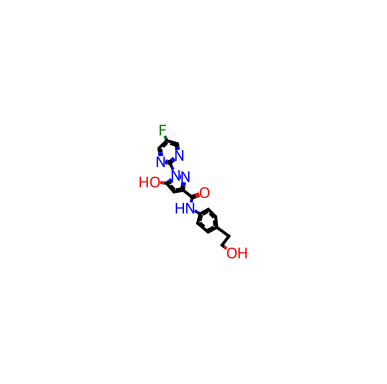 O=C(Nc1ccc(CCO)cc1)c1cc(O)n(-c2ncc(F)cn2)n1